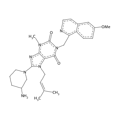 COc1ccc2c(Cn3c(=O)c4c(nc(N5CCCC(N)C5)n4CC=C(C)C)n(C)c3=O)nccc2c1